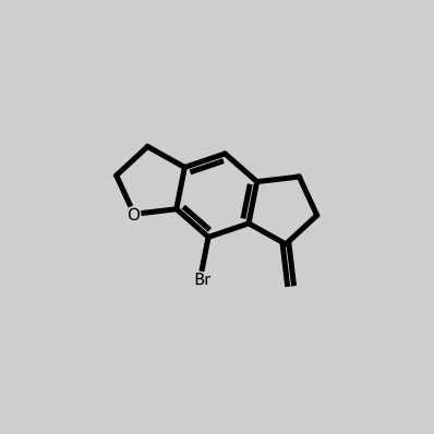 C=C1CCc2cc3c(c(Br)c21)OCC3